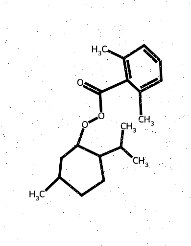 Cc1cccc(C)c1C(=O)OO[C]1CC(C)CCC1C(C)C